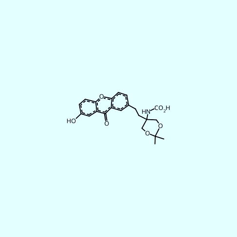 CC1(C)OCC(CCc2ccc3oc4ccc(O)cc4c(=O)c3c2)(NC(=O)O)CO1